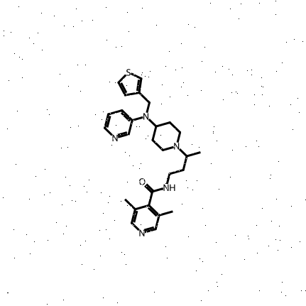 Cc1cncc(C)c1C(=O)NCCC(C)N1CCC(N(Cc2ccsc2)c2cccnc2)CC1